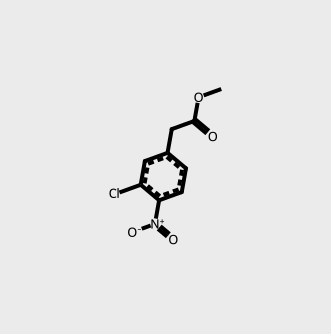 COC(=O)Cc1ccc([N+](=O)[O-])c(Cl)c1